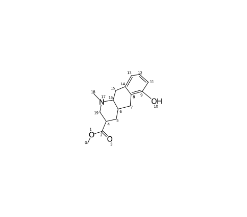 COC(=O)C1CC2Cc3c(O)cccc3CC2N(C)C1